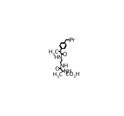 CC(C)Cc1ccc(C(C)C(=O)NCCNC(=O)[C@H](C)NC(=O)O)cc1